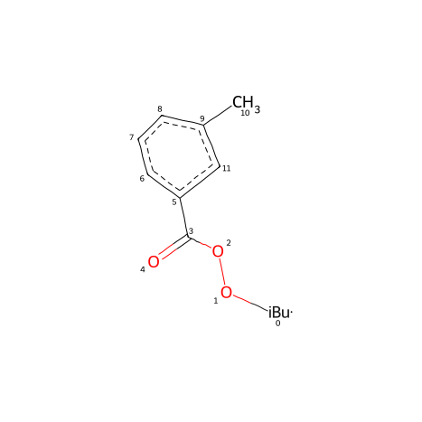 CC[C](C)OOC(=O)c1cccc(C)c1